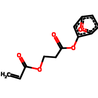 C=CC(=O)OCCC(=O)Oc1cc2ccc1o2